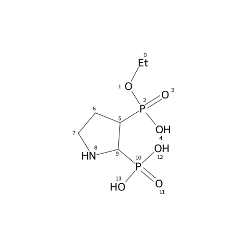 CCOP(=O)(O)C1CCNC1P(=O)(O)O